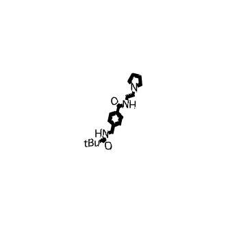 CC(C)(C)C(=O)NCc1ccc(C(=O)NCCN2CCCC2)cc1